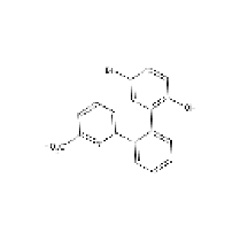 O=C(O)c1cccc(-c2ccccc2-c2cc(Br)ccc2O)n1